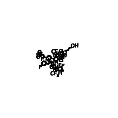 CC(C)(CCc1ccc(-c2ccc(Cl)c3c(N(C(=O)OCCCCO)S(C)(=O)=O)nn(CC(F)(F)F)c23)c([C@H](Cc2cc(F)cc(F)c2)NC(=O)Cn2nc(C(F)(F)F)c3c2C(F)(F)C2C[C@H]32)n1)S(C)(=O)=O